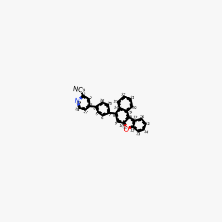 N#Cc1cc(-c2ccc(-c3cc4oc5ccccc5c4c4ccccc34)cc2)ccn1